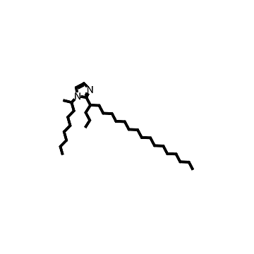 CCCCCCCCCCCCCCCCC(CCC)c1nccn1C(C)CCCCCCC